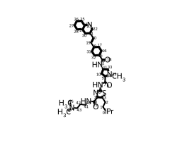 CC(C)CCc1sc(NC(=O)c2cc(NC(=O)c3ccc(C=Cc4cnc5ccccc5c4)cc3)cn2C)nc1C(=O)NCCCN(C)C